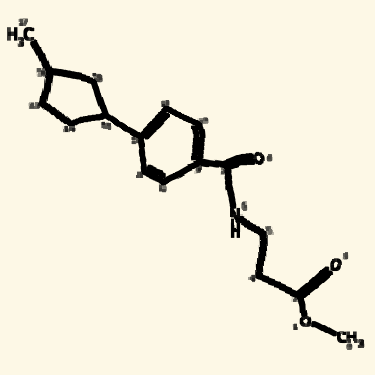 COC(=O)CCNC(=O)c1ccc(C2CCC(C)C2)cc1